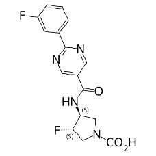 O=C(N[C@H]1CN(C(=O)O)C[C@@H]1F)c1cnc(-c2cccc(F)c2)nc1